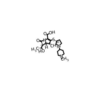 C[C@@H](O)[C@H]1C(=O)N2C(C(=O)O)=C(S[C@@H]3CCN(C4CCN(C)CC4)C3)[C@H](C)[C@H]12